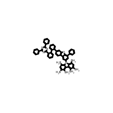 Bc1cc(B)c2c(c1B)c1c(B)c(B)cc(B)c1n2-c1cc(-c2ccccc2)c2oc3cc(-c4ccccc4-c4ccccc4-c4nc(-c5ccccc5)nc(-c5ccccc5)n4)ccc3c2c1